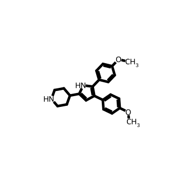 COc1ccc(-c2cc(C3CCNCC3)[nH]c2-c2ccc(OC)cc2)cc1